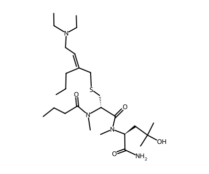 CCCC(=O)N(C)[C@H](CSC/C(=C/CN(CC)CC)CCC)C(=O)N(C)[C@@H](CC(C)(C)O)C(N)=O